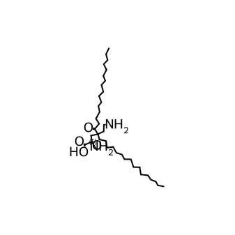 CCCCCCCCCCCCCCCC(=O)C(CCN)(C[C@H](N)C(=O)O)C(=O)CCCCCCCCCCCCCCC